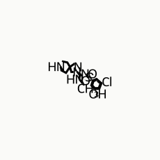 CCN/C(=N\S(=O)(=O)c1cc(O)cc(Cl)c1)N1CC2(C=N1)CCNCC2